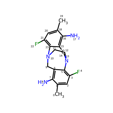 Cc1cc(F)c2c(c1N)CN1CCN2Cc2c(N)c(C)cc(F)c21